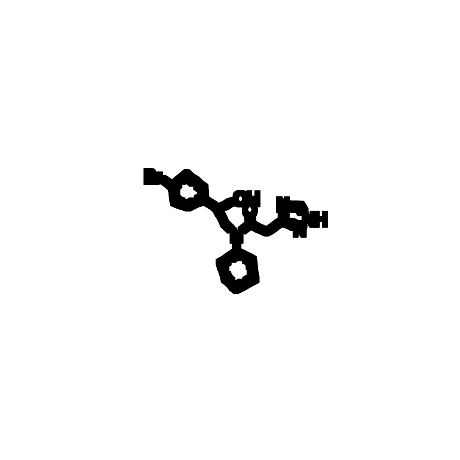 O=C(Cc1nc[nH]n1)N(CC(O)c1ccc(Br)cc1)c1ccccc1